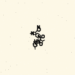 Cc1ccnc(C(=O)NC(C(=O)N2CCC3(CC2)CN(C)CC3c2cccnc2)C(C)C)c1